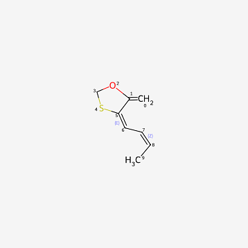 C=C1OCS/C1=C/C=C\C